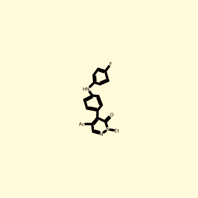 CCn1ncc(C(C)=O)c(-c2ccc(Nc3ccc(F)cc3)cc2)c1=O